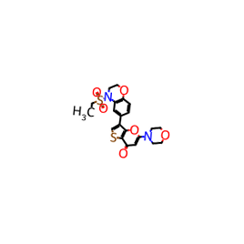 CCS(=O)(=O)N1CCOc2ccc(-c3csc4c(=O)cc(N5CCOCC5)oc34)cc21